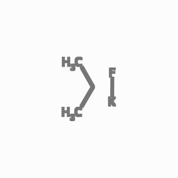 CCC.[F][K]